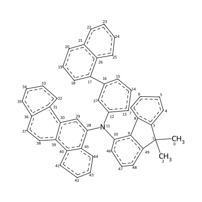 CC1(C)c2ccccc2-c2c(N(c3cccc(-c4cccc5ccccc45)c3)c3cc4c5ccccc5ccc4c4ccccc34)cccc21